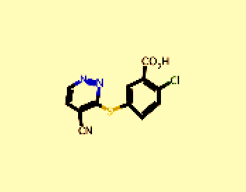 N#Cc1ccnnc1Sc1ccc(Cl)c(C(=O)O)c1